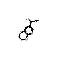 CCCC(CC)c1cnc2c(c1)OCCN2